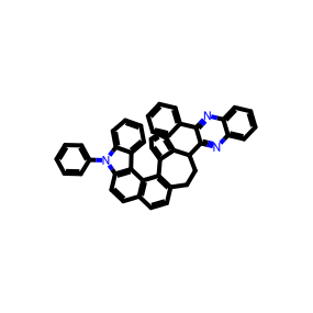 c1ccc(-c2nc3ccccc3nc2C2CCc3ccc4ccc5c(c6ccccc6n5-c5ccccc5)c4c3-c3ccccc32)cc1